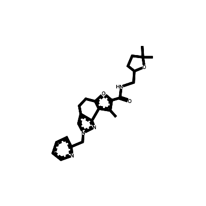 Cc1c(C(=O)NCC2CCC(C)(C)O2)oc2c1-c1nn(Cc3ccccn3)cc1CC2